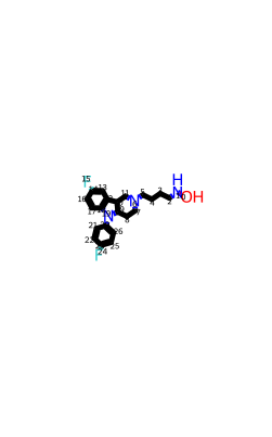 ONCCCCN1CCC2C(C1)c1cc(F)ccc1N2c1ccc(F)cc1